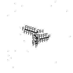 OCC(F)(OC(F)(F)C(F)(OC(F)(F)C(F)(F)F)OC(F)(F)C(F)(F)C(F)(F)C(F)(F)F)C(F)(F)C(F)(F)C(F)(F)C(F)(F)F